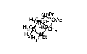 C=Cc1c(C)c2cc3nc(c(C)c4cc(C)c(cc5nc(cc1[nH]2)C(C)=C5CC)[nH]4)[C@@H](CCC(=O)C(CCC)CCCOC(C)=O)[C@@H]3C